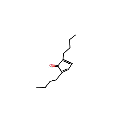 CCCCC1=CC=C(CCCC)C1=O